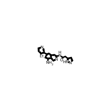 CCc1ccncc1-c1cc(N)c2cnc(NC(=O)Cc3ccn[nH]3)cc2c1